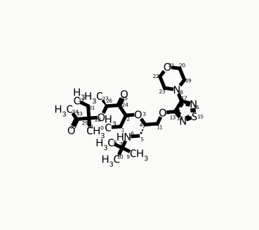 CCC(O[C@@H](CNC(C)(C)C)COc1nsnc1N1CCOCC1)C(=O)[C@H](C)OC(C)(CC)C(C)=O